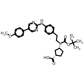 COc1ccc(-c2cnc(Nc3ccc(CCN(C(=O)OC(C)(C)C)[C@@H]4CC[C@H](C(=O)O)C4)cc3)nc2)cc1